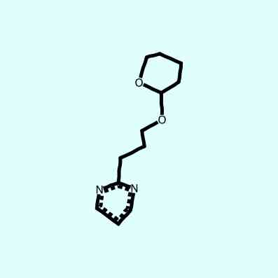 c1cnc(CCCOC2CCCCO2)nc1